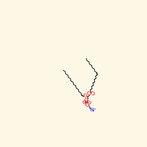 CCCCCCCC/C=C\CCCCCCCCCC(=O)OCC(COP(=O)([O-])OCC[N+](C)(C)C)O/C=C\CCCCCCCCCCCCCC